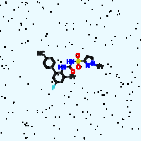 CC(C)c1cc(F)cc(-c2ccc(C#N)cc2)c1NC(=O)NS(=O)(=O)c1ccn(C(C)C)n1